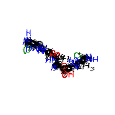 COc1cc(-c2nc(Nc3ccc4[nH]ncc4c3Cl)n(C)n2)ccc1OCC(=O)NC(C)c1cncc(C2CC(O)c3ccc(-c4nc(Nc5ccc6[nH]ncc6c5Cl)n(C)n4)cc3O2)c1